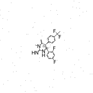 C=C1[C@@H](c2ccc(C(C)(F)F)cc2)[C@@](C)(c2ccc(F)cc2F)NC(=N)N1C